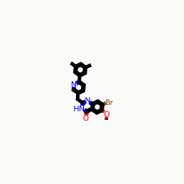 COc1cc2c(=O)[nH]c(Cc3ccc(-c4cc(C)cc(C)c4)nc3)nc2cc1Br